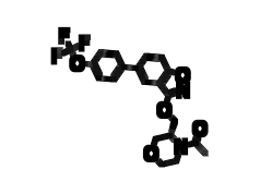 CC(=O)N1CCOC[C@H]1COc1noc2ccc(-c3ccc(OC(F)(F)F)cc3)cc12